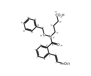 CCCCCCCC/C=C/c1ccccc1C(=O)N(CCCC(=O)O)OCc1ccccc1